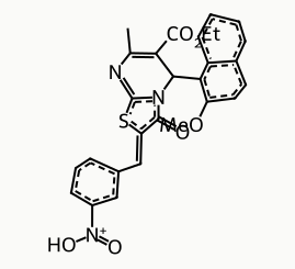 CCOC(=O)C1=C(C)N=c2s/c(=C\c3cccc([N+](=O)O)c3)c(=O)n2C1c1c(OC)ccc2ccccc12